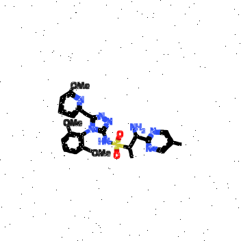 COc1cccc(-c2nnc(NS(=O)(=O)C(C)C(N)c3ncc(C)cn3)n2-c2c(OC)cccc2OC)n1